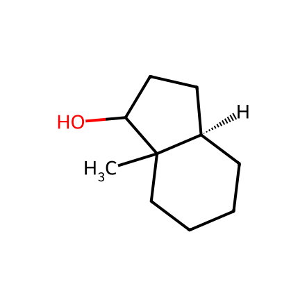 CC12CCCC[C@@H]1CCC2O